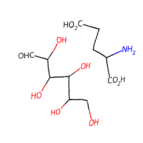 NC(CCC(=O)O)C(=O)O.O=CC(O)C(O)C(O)C(O)CO